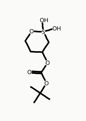 CC(C)(C)OC(=O)OC1CCOS(O)(O)C1